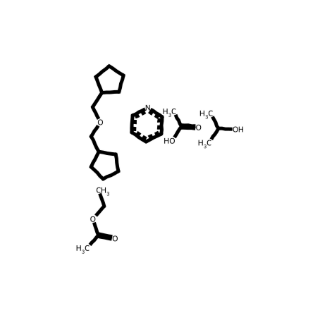 C1CCC(COCC2CCCC2)C1.CC(=O)O.CC(C)O.CCOC(C)=O.c1ccncc1